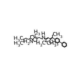 C=C(C)/C(=C\C(C)=C(/CC)c1ccc(-c2ccccc2)cc1)NCCC1CC[C@]2(N)C(CCC(C)CC)CC[C@]12C